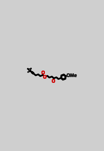 COc1ccc(CCC(=O)CCCOC(=O)CCCC#C[Si](C)(C)C)cc1